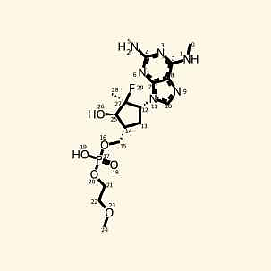 CNc1nc(N)nc2c1ncn2[C@@H]1C[C@H](COP(=O)(O)OCCOC)[C@@H](O)[C@@]1(C)F